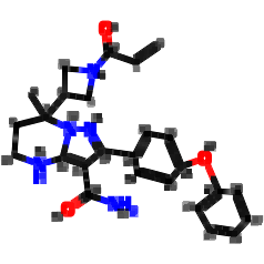 C=CC(=O)N1CC(C2(C)CCNc3c(C(N)=O)c(-c4ccc(Oc5ccccc5)cc4)nn32)C1